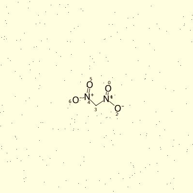 O=[N+]([O-])C[N+](=O)[O-]